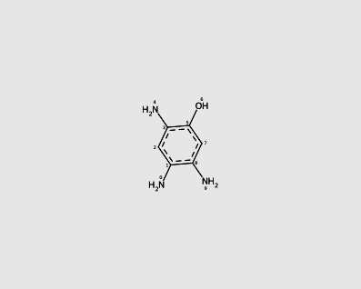 Nc1cc(N)c(O)cc1N